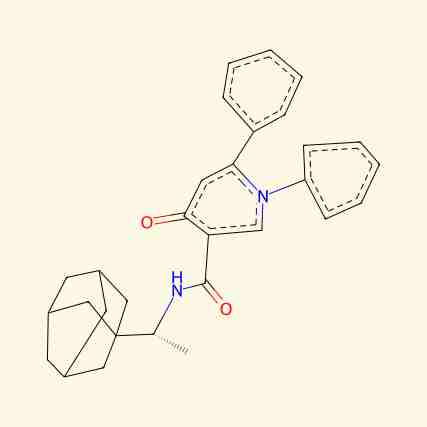 C[C@@H](NC(=O)c1cn(-c2ccccc2)c(-c2ccccc2)cc1=O)C12CC3CC(CC(C3)C1)C2